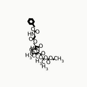 CCOC(=O)OC(C)OC(=O)[C@@H]1N2C(=O)[C@H](COC(=O)CNC(=O)OCc3ccccc3)[C@H]2S(=O)(=O)C1(C)C